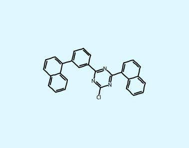 Clc1nc(-c2cccc(-c3cccc4ccccc34)c2)nc(-c2cccc3ccccc23)n1